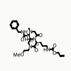 C=CCOC(=O)NCCC[C@H]1C(=O)N(CCOC)C[C@H]2N1C(=O)CN(C)N2C(=O)NCc1ccccc1